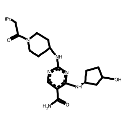 CC(C)CC(=O)N1CCC(Nc2ncc(C(N)=O)c(N[C@H]3CCC(O)C3)n2)CC1